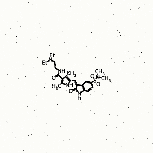 CCN(CC)CCNC(=O)c1c(C)[nH]c(/C=C2\C(=O)Nc3ccc(S(=O)(=O)N(C)C)cc32)c1C